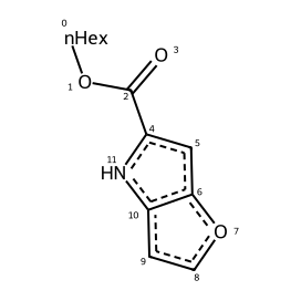 CCCCCCOC(=O)c1cc2occc2[nH]1